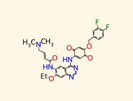 CCOc1cc2ncnc(NC3=CC(=O)C(OCc4ccc(F)c(F)c4)=CC3=O)c2cc1NC(=O)C=CCN(C)C